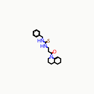 O=C(CCNC(=S)NCc1ccccc1)N1CCCC2CCCC=C21